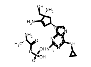 C[C@H](N)C(=O)OP(=O)(O)O.NC1=C[C@H](n2cnc3c(NC4CC4)nc(N)nc32)C[C@]1(N)CO